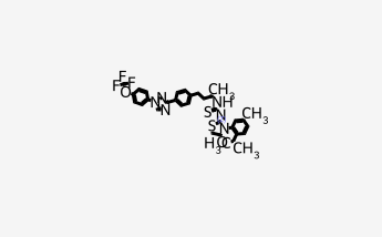 Cc1ccc(C(C)C)c(N2C(=O)CS/C2=N\C(=S)NC(C)CCc2ccc(-c3ncn(-c4ccc(OC(F)(F)F)cc4)n3)cc2)c1